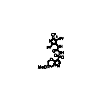 CO[C@@H]1COc2c(S(=O)(=O)NC(=O)Nc3c(C(C)C)nn(C(F)(F)F)c3C(C)C)cnn2C1